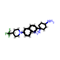 NC1CCC(N)(c2ccc3cc(N4CCC(C(F)(F)F)CC4)ccc3c2)CC1